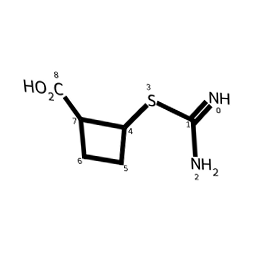 N=C(N)SC1CCC1C(=O)O